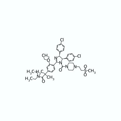 CCOc1cc(C(C)(C)C(=O)N(CC)CC)ccc1C1=N[C@@H](c2ccc(Cl)cc2)[C@@H](c2ccc(Cl)cc2)N1C(=O)N1CCN(CCS(C)(=O)=O)CC1